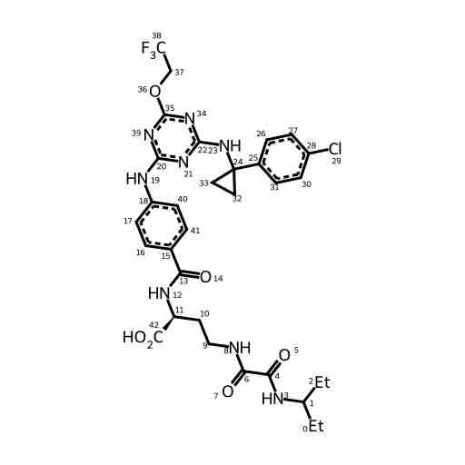 CCC(CC)NC(=O)C(=O)NCC[C@H](NC(=O)c1ccc(Nc2nc(NC3(c4ccc(Cl)cc4)CC3)nc(OCC(F)(F)F)n2)cc1)C(=O)O